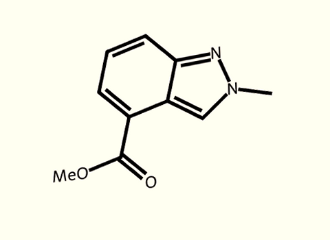 COC(=O)c1cccc2nn(C)cc12